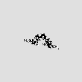 CN1CC[C@@](O)(c2cn(-c3cccc(-c4ccnc(Nc5ccn(C)n5)n4)n3)cn2)C1=O